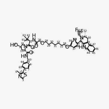 Cc1ncsc1-c1ccc(CNC(=O)[C@@H]2C[C@@H](O)CN2C(=O)[C@@H](NC(=O)COCCCCCCCOc2ccc([C@@H]3c4[nH]c5ccccc5c4C[C@@H](C)N3CC(F)F)nc2)C(C)(C)C)cc1